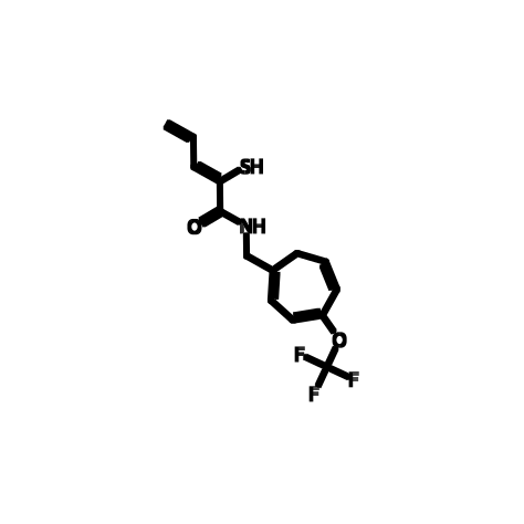 C=C/C=C(\S)C(=O)NCC1=CC=C(OC(F)(F)F)C=CC1